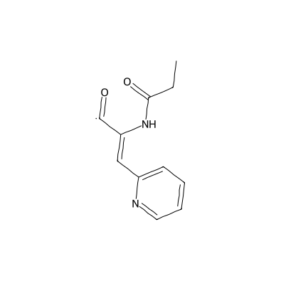 CCC(=O)NC([C]=O)=Cc1ccccn1